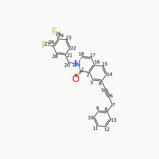 O=c1c2cc(C#CCc3ccccc3)ccc2ccn1Cc1ccc(F)c(F)c1